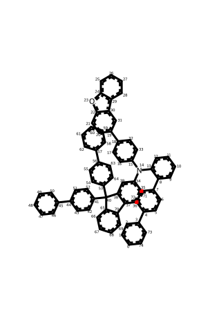 c1ccc(-c2ccc(-c3ccccc3N(c3ccc(-c4ccc5oc6ccccc6c5c4)cc3)c3ccc4c(c3)C(c3ccc(-c5ccccc5)cc3)(c3ccc(-c5ccccc5)cc3)c3ccccc3-4)cc2)cc1